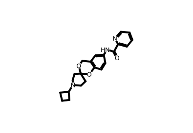 O=C(Nc1ccc2c(c1)COC1(CCN(C3CCC3)CC1)O2)c1ccccn1